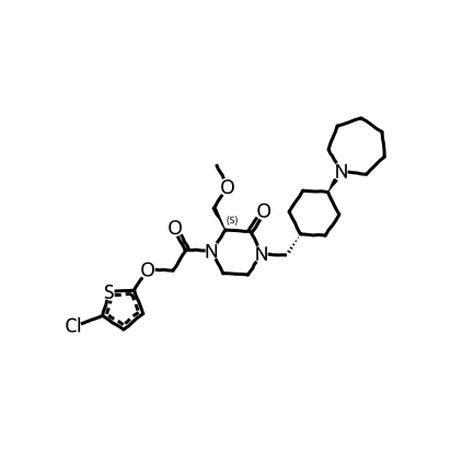 COC[C@H]1C(=O)N(C[C@H]2CC[C@H](N3CCCCCC3)CC2)CCN1C(=O)COc1ccc(Cl)s1